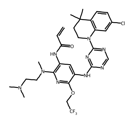 C=CC(=O)Nc1cc(Nc2ncnc(N3CCC(C)(C)c4ccc(Cl)cc43)n2)c(OCC(F)(F)F)nc1N(C)CCN(C)C